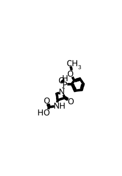 CCOc1ccccc1[PH](=O)N1CC(NC(=O)O)C1=O